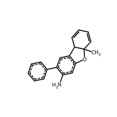 CC12C=CC=CC1c1cc(-c3ccccc3)c(N)cc1O2